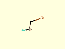 FBCBr